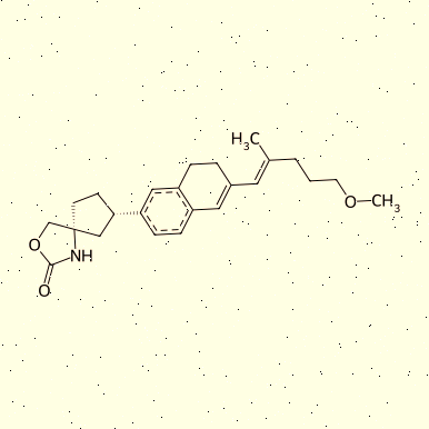 COCCC/C(C)=C/C1=Cc2ccc([C@H]3CC[C@]4(COC(=O)N4)C3)cc2CC1